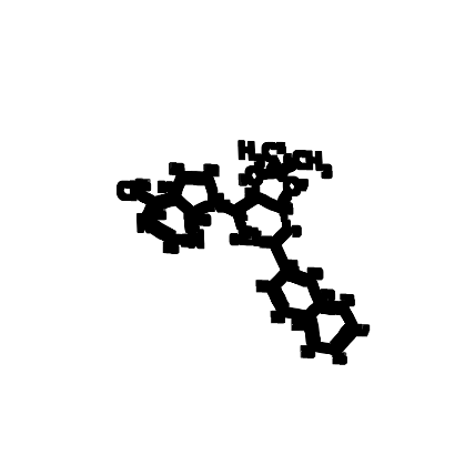 CC[C@H]([C@@H]1OC(C)(C)O[C@@H]1CCc1ccc2ccccc2c1)n1ccc2c(Cl)ncnc21